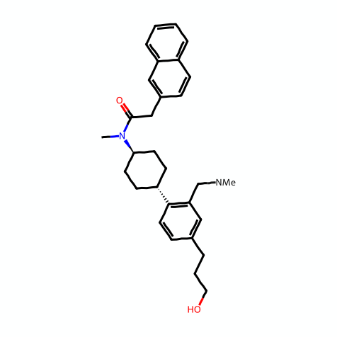 CNCc1cc(CCCO)ccc1[C@H]1CC[C@H](N(C)C(=O)Cc2ccc3ccccc3c2)CC1